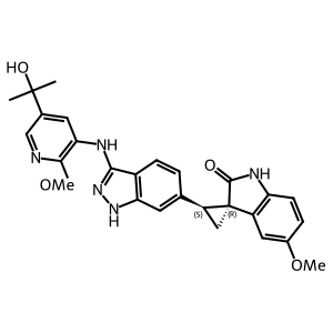 COc1ccc2c(c1)[C@]1(C[C@H]1c1ccc3c(Nc4cc(C(C)(C)O)cnc4OC)n[nH]c3c1)C(=O)N2